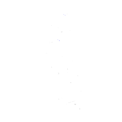 CC(C(=O)Nc1ccncc1)c1ccc(Oc2cccc(F)c2)cc1